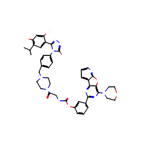 CC(C)c1cc(-c2nnc(O)n2-c2ccc(CN3CCN(C(=O)CNC(=O)Oc4cccc(-c5nc(N6CCOCC6)c6oc7ncccc7c6n5)c4)CC3)cc2)c(O)cc1O